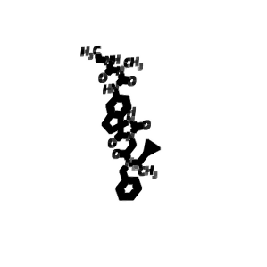 CCNC(=O)N(C)C(=O)Nc1ccc2c(c1)CCC21NC(=O)N(CC(=O)N(Cc2ccccc2)[C@@H](C)C2CC2)C1=O